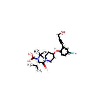 CC(C)[C@@H](C(=O)N1CCC(Oc2ccc(F)cc2C#CCO)CC1)N(C(=O)O)C(C)(C)C